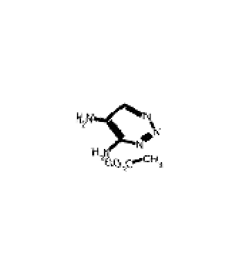 CCOC(C)=O.Nc1cnnnc1N